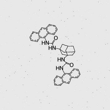 O=C(Nc1c2ccccc2cc2ccccc12)NC12CC3CC(C1)CC(NC(=O)Nc1c4ccccc4cc4ccccc14)(C3)C2